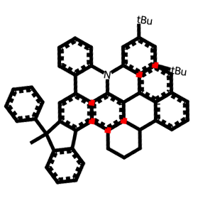 CC(C)(C)c1cc(N(c2ccccc2-c2ccc3c(c2)C(C)(c2ccccc2)c2ccccc2-3)c2ccccc2-c2cccc3cccc(C4CCCCC4)c23)cc(C(C)(C)C)c1